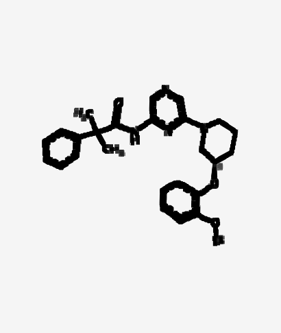 CCOc1ccccc1O[C@@H]1CCCN(c2cncc(NC(=O)C(C)(C)c3ccccc3)n2)C1